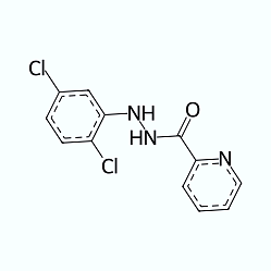 O=C(NNc1cc(Cl)ccc1Cl)c1ccccn1